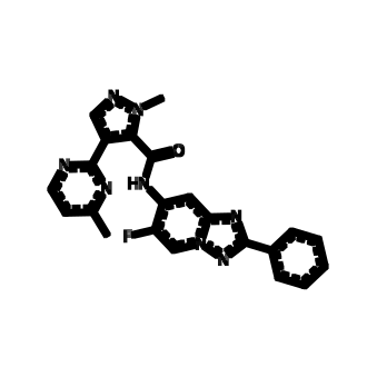 Cc1ccnc(-c2cnn(C)c2C(=O)Nc2cc3nc(-c4ccccc4)nn3cc2F)n1